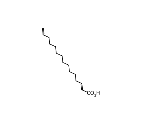 C=CCCCCCCCCCCC=CC(=O)O